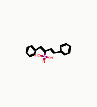 O=P(O)(O)C(C=Cc1ccccc1)=Cc1ccccc1